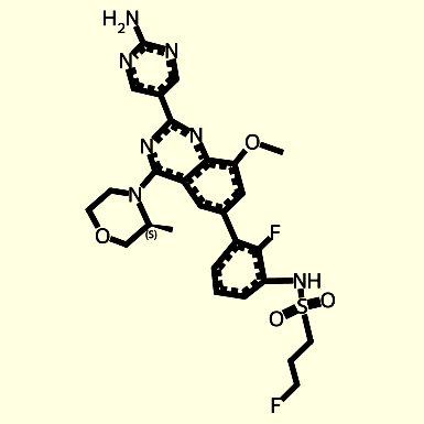 COc1cc(-c2cccc(NS(=O)(=O)CCCF)c2F)cc2c(N3CCOC[C@@H]3C)nc(-c3cnc(N)nc3)nc12